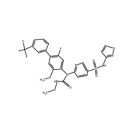 CONC(=O)N(c1ccc(S(=O)(=O)Nc2ccon2)cn1)c1cc(F)c(-c2cccc(C(F)(F)F)c2)cc1OC